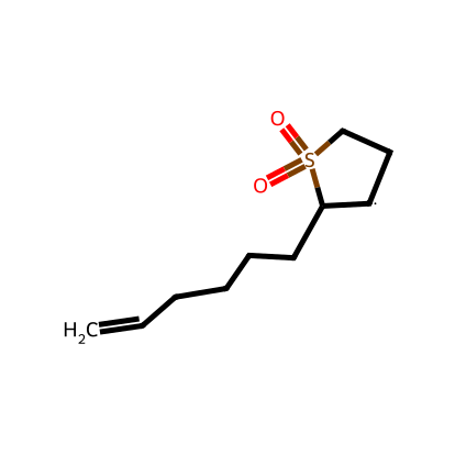 C=CCCCCC1[CH]CCS1(=O)=O